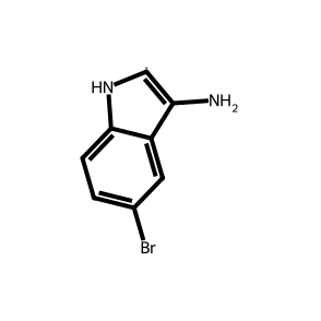 Nc1[c][nH]c2ccc(Br)cc12